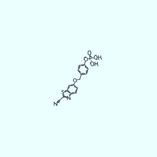 N#Cc1nc2ccc(OCc3ccc(OP(=O)(O)O)cc3)cc2s1